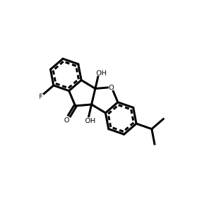 CC(C)c1ccc2c(c1)OC1(O)c3cccc(F)c3C(=O)C21O